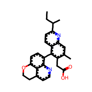 CCC(C)c1ccc2c(-c3ccc4c5c(ccnc35)CCO4)c(CC(=O)O)c(C)cc2n1